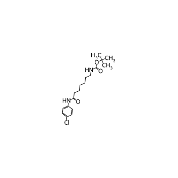 CC(C)(C)OC(=O)NCCCCCCC(=O)Nc1ccc(Cl)cc1